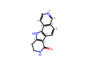 O=C1NCCc2[nH]c3c(ccc4cnccc43)c21